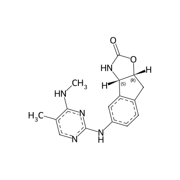 CNc1nc(Nc2ccc3c(c2)[C@@H]2NC(=O)O[C@@H]2C3)ncc1C